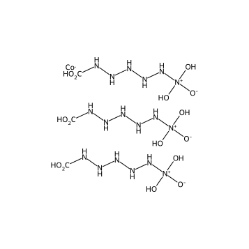 O=C(O)NNNNN[N+]([O-])(O)O.O=C(O)NNNNN[N+]([O-])(O)O.O=C(O)NNNNN[N+]([O-])(O)O.[Co]